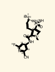 CC[C@H](C)[C@H]1C=Cc2c(cn(C)c2C(=O)Nc2cc(F)nc(C#N)c2)S(=N)(=O)N1